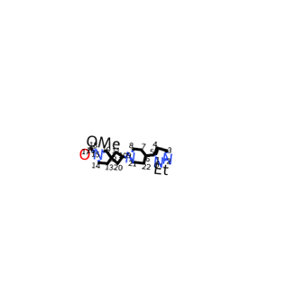 CCn1nccc1C1CCN(C2CC3(CCN(C(=O)OC)C3)C2)CC1